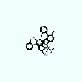 CCCCC1=Cc2c(ccc(C(C)C)c2-c2ccccc2C)[CH]1[Zr]([Cl])([Cl])([CH]1C(CCCC)=Cc2c1ccc(C(C)C)c2-c1ccccc1C)[SiH](C)C